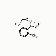 CCCl.Cc1ccccc1N(C)C=O